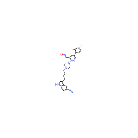 N#Cc1ccc2[nH]cc(CCCCN3CCN(c4ncc(-c5ccc(F)cc5F)cc4CN=O)CC3)c2c1